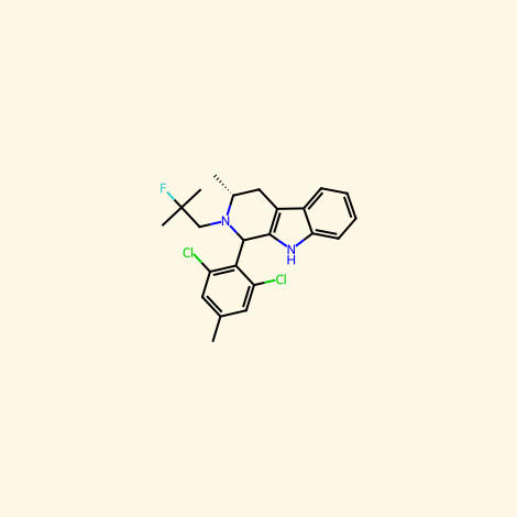 Cc1cc(Cl)c(C2c3[nH]c4ccccc4c3C[C@@H](C)N2CC(C)(C)F)c(Cl)c1